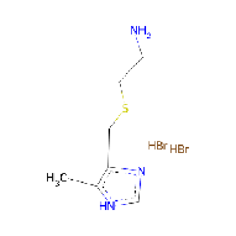 Br.Br.Cc1[nH]cnc1CSCCN